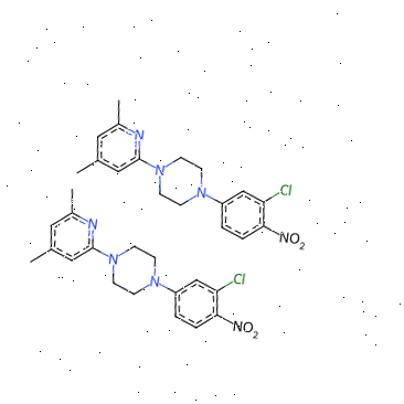 Cc1cc(C)nc(N2CCN(c3ccc([N+](=O)[O-])c(Cl)c3)CC2)c1.Cc1cc(C)nc(N2CCN(c3ccc([N+](=O)[O-])c(Cl)c3)CC2)c1